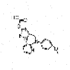 COc1ccc(N2Cc3nc(OC(=O)O)nn3-c3cccnc32)cc1